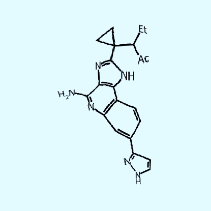 CCC(C(C)=O)C1(c2nc3c(N)nc4cc(-c5cc[nH]n5)ccc4c3[nH]2)CC1